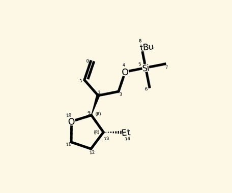 C=CC(CO[Si](C)(C)C(C)(C)C)[C@@H]1OCC[C@H]1CC